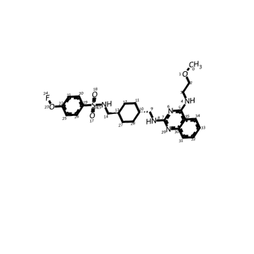 COCCNc1nc(NC[C@H]2CC[C@H](CNS(=O)(=O)c3ccc(OF)cc3)CC2)nc2ccccc12